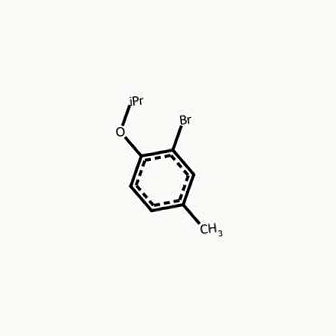 Cc1ccc(OC(C)C)c(Br)c1